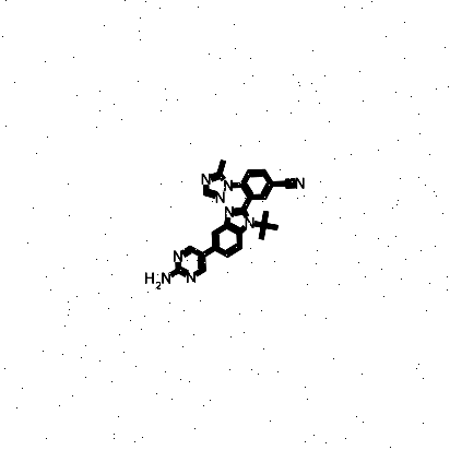 Cc1ncnn1-c1ccc(C#N)cc1-c1nc2cc(-c3cnc(N)nc3)ccc2n1C(C)(C)C